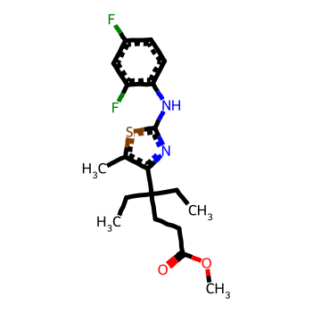 CCC(CC)(CCC(=O)OC)c1nc(Nc2ccc(F)cc2F)sc1C